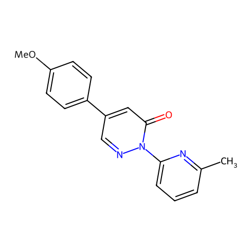 COc1ccc(-c2cnn(-c3cccc(C)n3)c(=O)c2)cc1